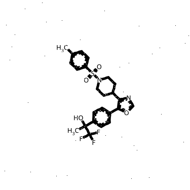 Cc1ccc(S(=O)(=O)N2CCC(c3ncoc3-c3ccc(C(C)(O)C(F)(F)F)cc3)CC2)cc1